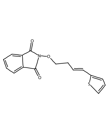 O=C1c2ccccc2C(=O)N1OCCC=Cc1cccs1